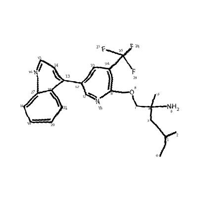 CC(C)CC(C)(N)COc1ncc(-c2ccnc3ccccc23)cc1C(F)(F)F